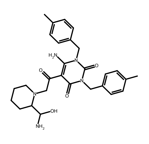 Cc1ccc(Cn2c(N)c(C(=O)CN3CCCCC3C(N)O)c(=O)n(Cc3ccc(C)cc3)c2=O)cc1